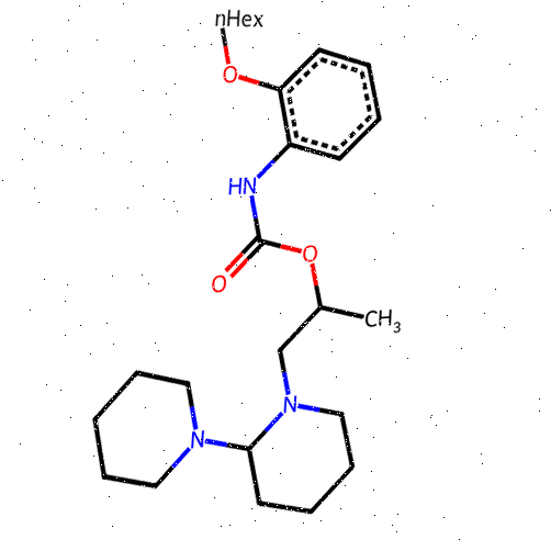 CCCCCCOc1ccccc1NC(=O)OC(C)CN1CCCCC1N1CCCCC1